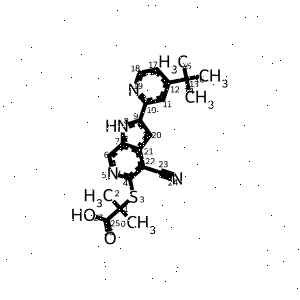 CC(C)(Sc1ncc2[nH]c(-c3cc(C(C)(C)C)ccn3)cc2c1C#N)C(=O)O